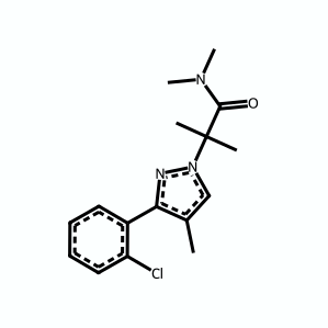 Cc1cn(C(C)(C)C(=O)N(C)C)nc1-c1ccccc1Cl